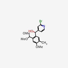 COc1cc(C(OC)OC)c(C(O)c2ccnc(Br)c2)cc1C